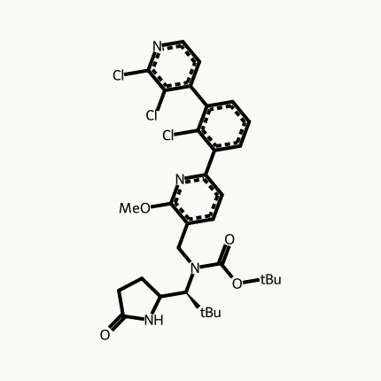 COc1nc(-c2cccc(-c3ccnc(Cl)c3Cl)c2Cl)ccc1CN(C(=O)OC(C)(C)C)[C@H](C1CCC(=O)N1)C(C)(C)C